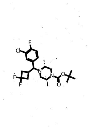 C[C@@H]1CN(C(=O)OC(C)(C)C)[C@@H](C)CN1C(c1ccc(F)c(Cl)c1)C1CC(F)(F)C1